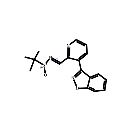 CC(C)(C)[S@+]([O-])/N=C/c1ncccc1-c1noc2ccccc12